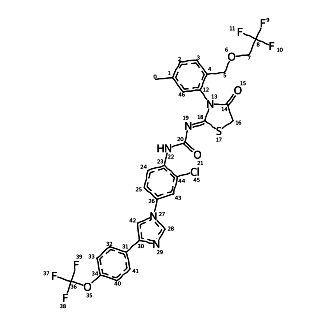 Cc1ccc(COCC(F)(F)F)c(N2C(=O)CSC2=NC(=O)Nc2ccc(-n3cnc(-c4ccc(OC(F)(F)F)cc4)c3)cc2Cl)c1